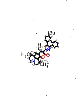 Cc1c(-c2nc3c4ccccc4c4cc(C(C)(C)C)ccc4c3s2)c(=O)oc2c3c4c(cc12)C(C)(C)CCN4CCC3(C)C